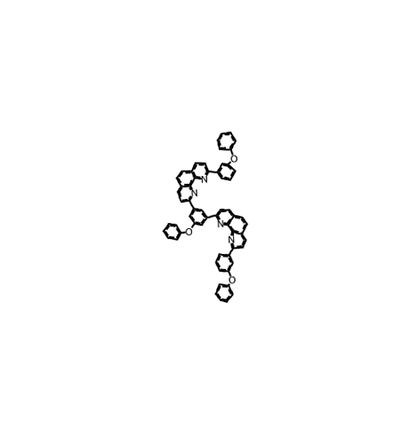 c1ccc(Oc2cccc(-c3ccc4ccc5ccc(-c6cc(Oc7ccccc7)cc(-c7ccc8ccc9ccc(-c%10cccc(Oc%11ccccc%11)c%10)nc9c8n7)c6)nc5c4n3)c2)cc1